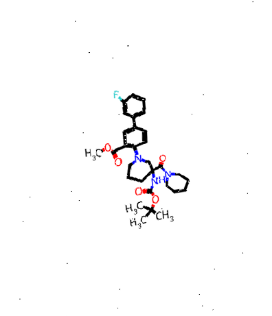 COC(=O)c1cc(-c2cccc(F)c2)ccc1N1CCCC(NC(=O)OC(C)(C)C)(C(=O)N2CCCCC2)C1